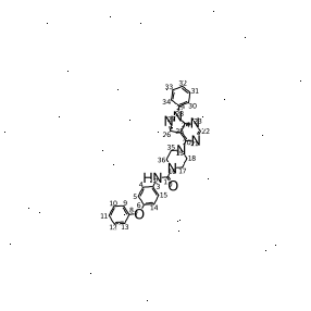 O=C(Nc1ccc(Oc2ccccc2)cc1)N1CCN(c2ncnc3c2cnn3-c2ccccc2)CC1